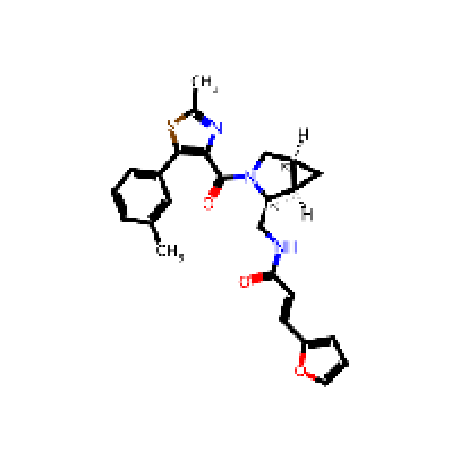 Cc1cccc(-c2sc(C)nc2C(=O)N2C[C@H]3C[C@H]3[C@H]2CNC(=O)C=Cc2ccco2)c1